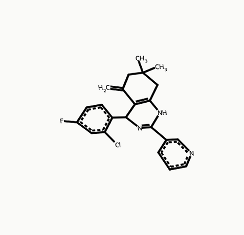 C=C1CC(C)(C)CC2=C1C(c1ccc(F)cc1Cl)N=C(c1cccnc1)N2